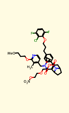 COCCCOc1nccc(CN(C(=O)C2=C(c3ccc(CCCOc4c(F)ccc(F)c4Cl)cc3)CC3CCC2N3C(=O)OCCOCCO[N+](=O)[O-])C2CC2)c1C